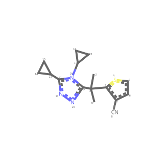 CC(C)(c1sccc1C#N)c1nnc(C2CC2)n1C1CC1